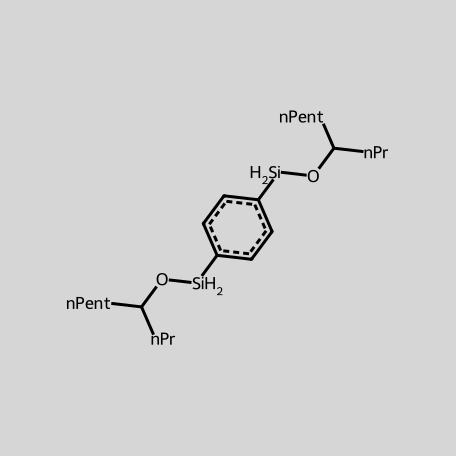 CCCCCC(CCC)O[SiH2]c1ccc([SiH2]OC(CCC)CCCCC)cc1